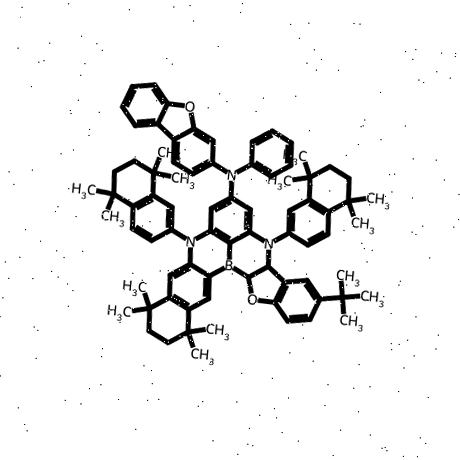 CC(C)(C)c1ccc2c(c1)C1C(O2)B2c3cc4c(cc3N(c3ccc5c(c3)C(C)(C)CCC5(C)C)c3cc(N(c5ccccc5)c5ccc6c(c5)oc5ccccc56)cc(c32)N1c1ccc2c(c1)C(C)(C)CCC2(C)C)C(C)(C)CCC4(C)C